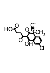 [C-]#[N+][C@@]1(C)C(=O)C(C(=O)CCC(=O)O)=C(O)c2cc(Cl)ccc21